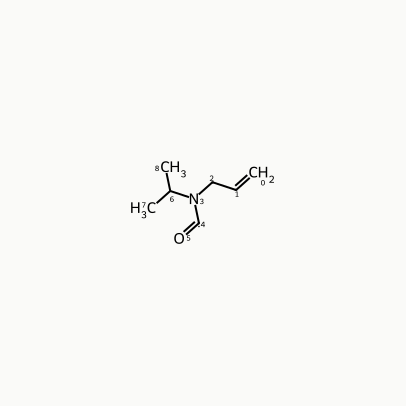 C=CCN([C]=O)C(C)C